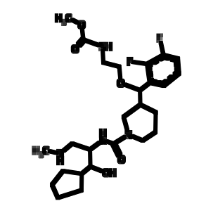 CNCC(NC(=O)N1CCCC(C(OCCNC(=O)OC)c2cccc(F)c2F)C1)C(O)C1CCCC1